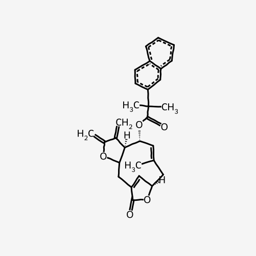 C=C1OC2CC3=C[C@@H](C/C(C)=C/[C@@H](OC(=O)C(C)(C)c4ccc5ccccc5c4)[C@@H]2C1=C)OC3=O